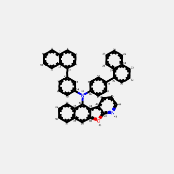 c1cc(-c2cccc3ccccc23)cc(N(c2ccc(-c3cccc4ccccc34)cc2)c2c3ccccc3cc3oc4ncccc4c23)c1